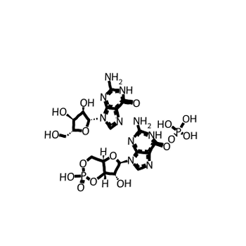 Nc1nc2c(ncn2[C@@H]2O[C@@H]3COP(=O)(O)O[C@H]3[C@H]2O)c(=O)[nH]1.Nc1nc2c(ncn2[C@@H]2O[C@H](CO)[C@@H](O)[C@H]2O)c(=O)[nH]1.O=P(O)(O)O